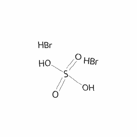 Br.Br.O=S(=O)(O)O